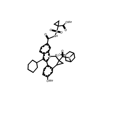 COC(=O)C1(S(=O)(=O)NC(=O)c2ccc3c(C4CCCCC4)c4n(c3c2)CC2(C(=O)N3C5CC3CN(C)C5)CC2c2cc(OC)ccc2-4)CC1